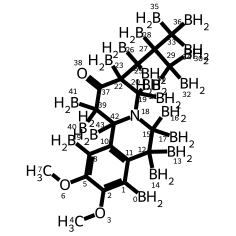 Bc1c(OC)c(OC)c(B)c2c1C(B)(B)C(B)(B)N1C(B)(B)C(B)(C(B)(B)C(B)(C(B)(B)B)C(B)(B)B)C(=O)C(B)(B)C21B